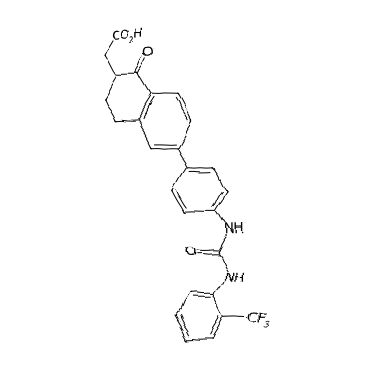 O=C(O)CC1CCc2cc(-c3ccc(NC(=O)Nc4ccccc4C(F)(F)F)cc3)ccc2C1=O